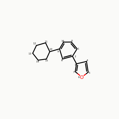 c1cc(-c2ccoc2)cc(C2CCCCC2)c1